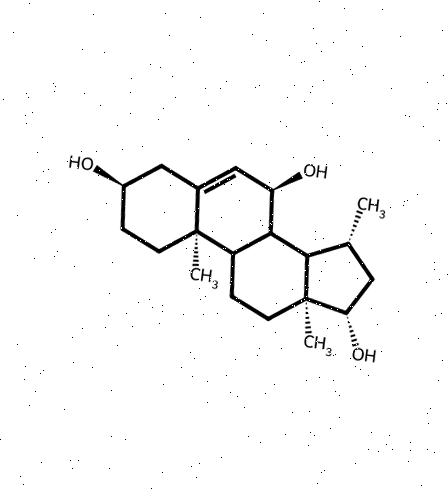 C[C@@H]1C[C@H](O)[C@@]2(C)CCC3C(C12)[C@H](O)C=C1C[C@H](O)CC[C@@]13C